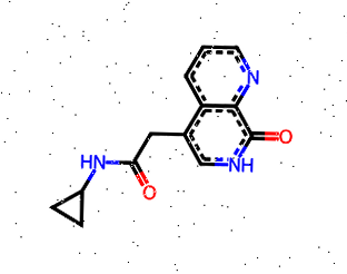 O=C(Cc1c[nH]c(=O)c2ncccc12)NC1CC1